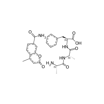 C[C@H](N)C(=O)N[C@@H](C)C(=O)N[C@@H](Cc1ccccc1)C(=O)O.Cc1cc(=O)oc2cc(C(N)=O)ccc12